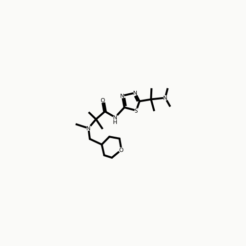 CN(CC1CCOCC1)C(C)(C)C(=O)Nc1nnc(C(C)(C)N(C)C)s1